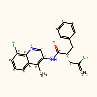 C=C(Cl)C[C@@H](Cc1ccccc1)C(=O)Nc1cnc2c(F)cccc2c1C